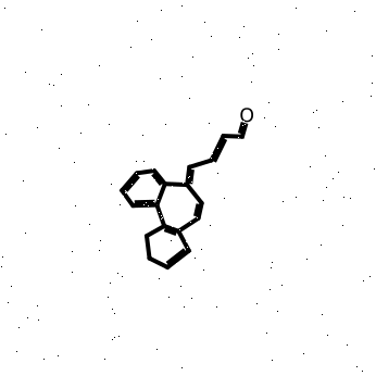 O=C/C=C/C=C1C=CC2=C(CCC=C2)c2ccccc21